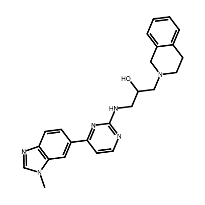 Cn1cnc2ccc(-c3ccnc(NCC(O)CN4CCc5ccccc5C4)n3)cc21